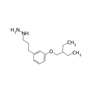 CCC(CC)COc1cccc(CCCNN)c1